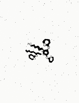 CCCCCC(C=C[C@@H]1[C@@H](CC=CCCCO)[C@@H](OC2CCCCO2)C[C@H]1OC1CCCCO1)OC1CCCCO1